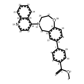 C=C(OC)c1ccc(-c2ccc3c(c2)CN(c2ccnc4ccccc24)CCO3)cc1